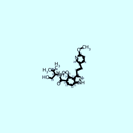 COc1ccc(/C=C/c2n[nH]c3ccc(C(=O)NC(CO)C(C)C)c(OC)c23)cn1